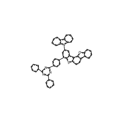 c1ccc(-c2nc(-c3ccccc3)nc(-c3ccc(-c4cc(-n5c6ccccc6c6ccccc65)cc5c4sc4ccc6c7ccccc7oc6c45)cc3)n2)cc1